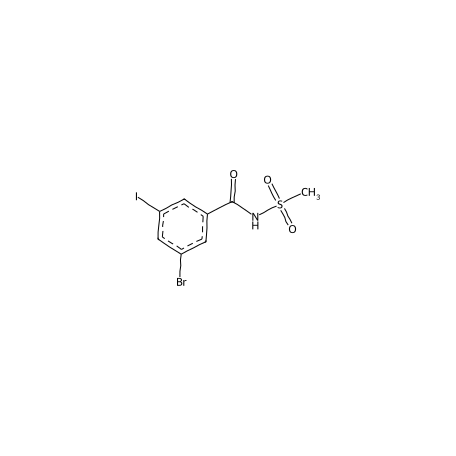 CS(=O)(=O)NC(=O)c1cc(Br)cc(I)c1